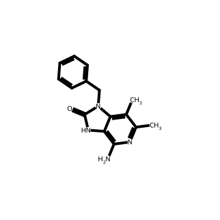 Cc1nc(N)c2[nH]c(=O)n(Cc3ccccc3)c2c1C